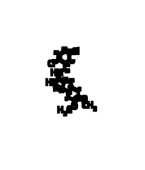 COc1cc2c(cc1OC)-c1n[nH]c(NCc3cc(Cl)ccc3Cl)c1C2